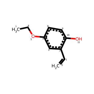 C=Cc1cc(OCC)ccc1O